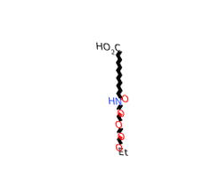 CCOCCOCCOCCOCCNC(=O)CCCCCCCCCCCCC(=O)O